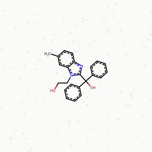 Cc1ccc2nc(C(O)(c3ccccc3)c3ccccc3)n(CCO)c2c1